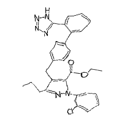 CCCc1nn(-c2ccccc2Cl)c(C(=O)OCC)c1Cc1ccc(-c2ccccc2-c2nnn[nH]2)cc1